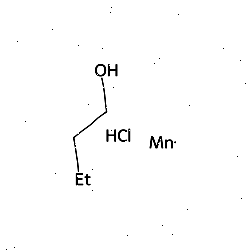 CCCCO.Cl.[Mn]